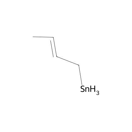 CC=C[CH2][SnH3]